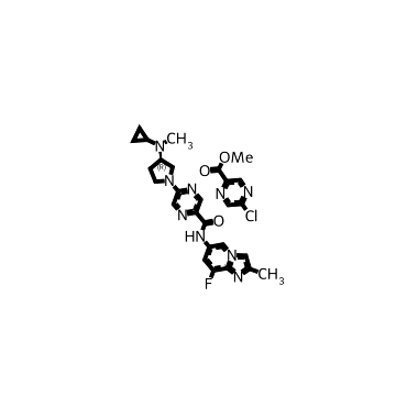 COC(=O)c1cnc(Cl)cn1.Cc1cn2cc(NC(=O)c3cnc(N4CC[C@@H](N(C)C5CC5)C4)cn3)cc(F)c2n1